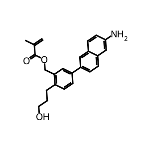 C=C(C)C(=O)OCc1cc(-c2ccc3cc(N)ccc3c2)ccc1CCCO